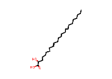 CCCCCCCCCCCCCCC=CCCCCCCC(O)C(=O)O